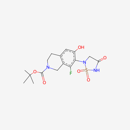 CC(C)(C)OC(=O)N1CCc2cc(O)c(N3CC(=O)NS3(=O)=O)c(F)c2C1